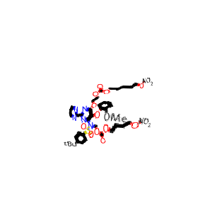 COc1ccccc1Oc1c(OCCOC(=O)OCCCCCO[N+](=O)[O-])nc(-c2ncccn2)nc1N(COC(=O)OCCCCO[N+](=O)[O-])S(=O)(=O)c1ccc(C(C)(C)C)cc1